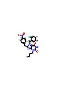 CCCCn1c(=O)[nH]c(=O)c2c1nc(Cc1ccc([N+](=O)[O-])cc1)n2Cc1ccccc1F